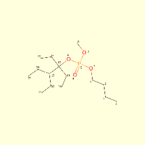 CCCCOP(=O)(OC)OC(CC)(CC)C(CC)CC